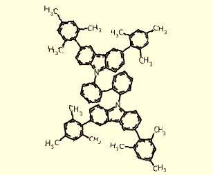 Cc1cc(C)c(-c2ccc3c(c2)c2cc(-c4c(C)cc(C)cc4C)ccc2n3-c2ccccc2-c2ccccc2-n2c3ccc(-c4c(C)cc(C)cc4C)cc3c3cc(-c4c(C)cc(C)cc4C)ccc32)c(C)c1